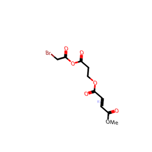 COC(=O)/C=C/C(=O)OCCC(=O)OC(=O)CBr